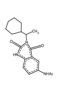 CC(=O)Nc1ccc2[nH]c(=O)n(C(C)C3CCCCC3)c(=O)c2c1